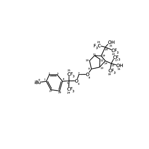 CCC(C)c1ccc(C(OCOC2CC3CC2C(C(O)(C(F)(F)F)C(F)(F)F)C3C(O)(C(F)(F)F)C(F)(F)F)(C(F)(F)F)C(F)(F)F)cc1